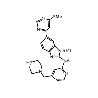 CSc1cc(-c2ccc3nc(Nc4cc(CN5CCNCC5)ccn4)[nH]c3c2)ncn1.Cl